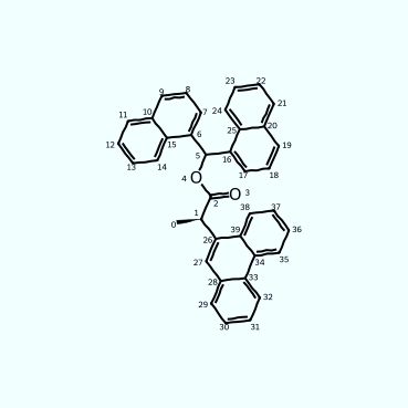 C[C@@H](C(=O)OC(c1cccc2ccccc12)c1cccc2ccccc12)c1cc2ccccc2c2ccccc12